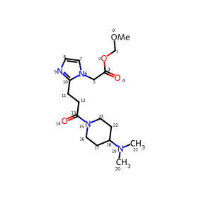 COCOC(=O)Cn1ccnc1CCC(=O)N1CCC(N(C)C)CC1